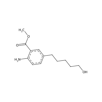 COC(=O)c1cc(CCCCCO)ccc1N